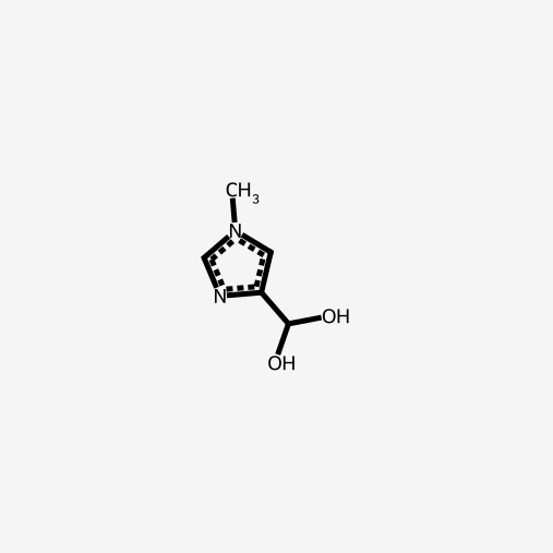 Cn1cnc(C(O)O)c1